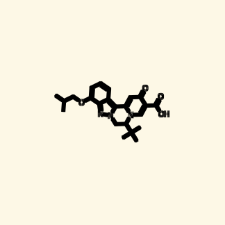 CC(C)COc1cccc2c3n(nc12)CC(C(C)(C)C)n1cc(C(=O)O)c(=O)cc1-3